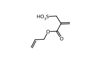 C=CCOC(=O)C(=C)CS(=O)(=O)O